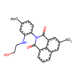 COc1ccc(N2C(=O)c3cccc4cc([N+](=O)[O-])cc(c34)C2=O)c(NCCO)c1